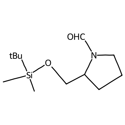 CC(C)(C)[Si](C)(C)OCC1CCCN1C=O